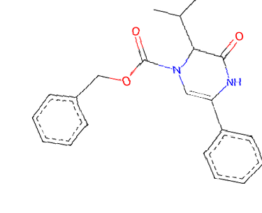 CC(C)C1C(=O)NC(c2ccccc2)=CN1C(=O)OCc1ccccc1